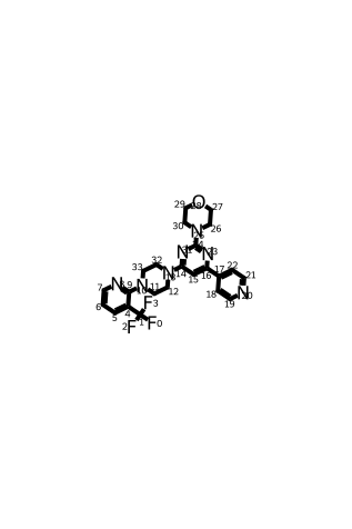 FC(F)(F)c1cccnc1N1CCN(c2cc(-c3ccncc3)nc(N3CCOCC3)n2)CC1